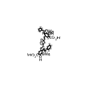 COc1c(O)c(C(=O)O)cc(C=CC(=O)CC(=O)C=Cc2cc(C(=O)O)c(O)c(OC)c2N=Nc2ccccc2)c1N=Nc1ccccc1